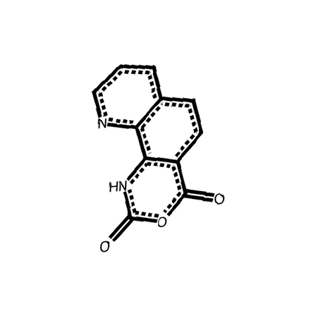 O=c1[nH]c2c(ccc3cccnc32)c(=O)o1